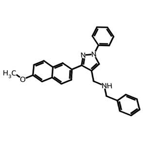 COc1ccc2cc(-c3nn(-c4ccccc4)cc3CNCc3ccccc3)ccc2c1